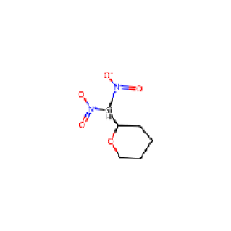 O=[N+]([O-])[SiH](C1CCCCO1)[N+](=O)[O-]